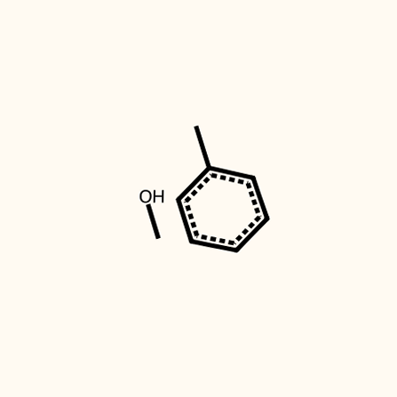 CO.Cc1ccccc1